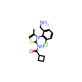 CC1=CSC(NC(=O)C2CCC2)N1c1c(Cl)cccc1CN